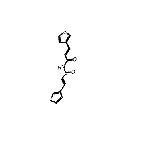 O=C(C=Cc1ccsc1)N[S+]([O-])C=Cc1ccsc1